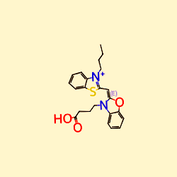 CCCC[n+]1c(/C=C2/Oc3ccccc3N2CCCC(=O)O)sc2ccccc21